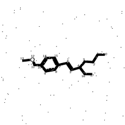 CCCCC(/C=C/c1ccc(COC)cc1)CC